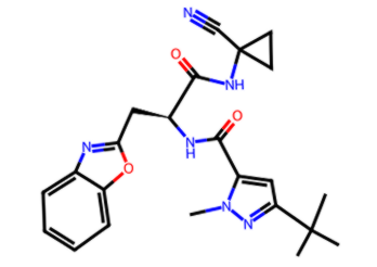 Cn1nc(C(C)(C)C)cc1C(=O)N[C@@H](Cc1nc2ccccc2o1)C(=O)NC1(C#N)CC1